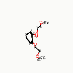 CCOCCOc1[c]cccc1OCCOCC